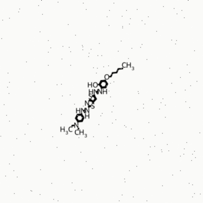 CCCCCCOc1ccc(NNc2cc3sc(NNc4ccc(N(CC)CC)cc4)nc3s2)c(O)c1